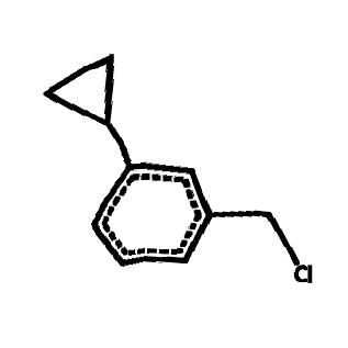 ClCc1cccc(C2CC2)c1